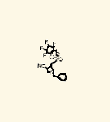 N#CC1CN(Cc2ccccc2)CC1CCS(=O)(=O)Oc1c(F)c(F)c(F)c(F)c1F